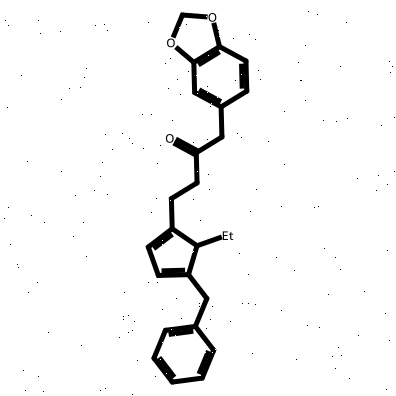 CCC1C(CCC(=O)Cc2ccc3c(c2)OCO3)=CC=C1Cc1ccccc1